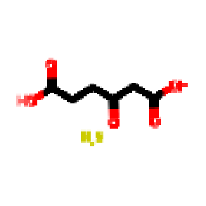 O=C(O)CCC(=O)CC(=O)O.S